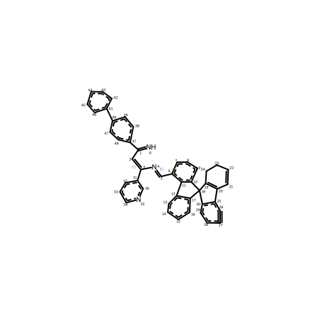 N=C(/C=C(\N=C\c1cccc2c1-c1ccccc1C21C2=C(C=CCC2)c2c#cccc21)c1cccnc1)c1ccc(-c2ccccc2)cc1